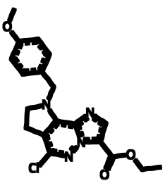 CCOC(=O)c1cnc2c3c(c(Cl)nn12)CCN3Cc1ccc(OC)cc1